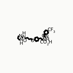 O=C(CCCOc1ccc(C[C@H](Nc2nc3cc(C(F)(F)F)ccc3o2)C(=O)O)cc1)NC1=NCCCN1